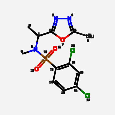 CC(c1nnc(C(C)(C)C)o1)N(C)S(=O)(=O)c1ccc(Cl)cc1Cl